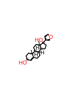 C[C@]12CC[C@H](O)C=C1CC[C@@H]1[C@@H]2CC[C@@]2(C)[C@H]1CC[C@@]2(O)c1ccoc1